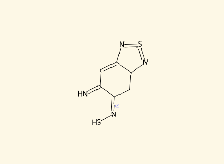 N=C1C=C2N=S=NC2C/C1=N/S